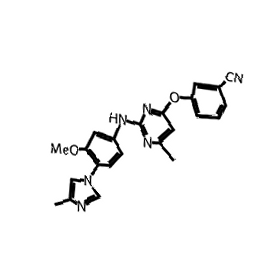 COc1cc(Nc2nc(C)cc(Oc3cccc(C#N)c3)n2)ccc1-n1cnc(C)c1